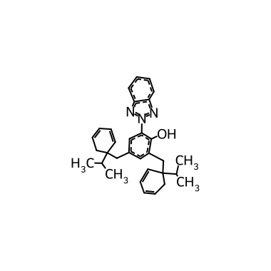 CC(C)C1(Cc2cc(CC3(C(C)C)C=CC=CC3)c(O)c(-n3nc4ccccc4n3)c2)C=CC=CC1